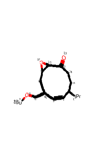 CC(C)C1/C=C\C(COC(C)(C)C)CC2OC2C(=O)CC1